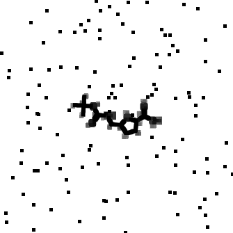 CC(C)(C)OC(=O)NC[C@@H]1CC[C@H](C(=O)O)O1